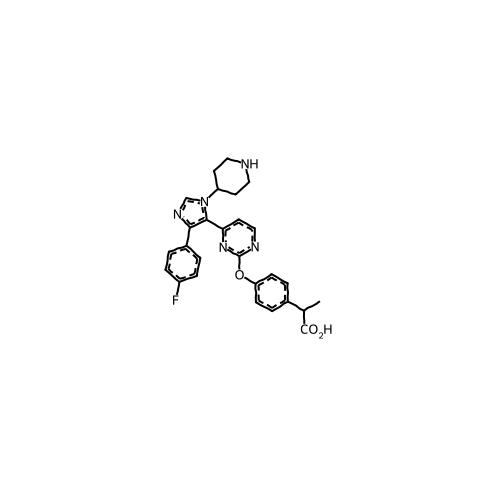 CC(C(=O)O)c1ccc(Oc2nccc(-c3c(-c4ccc(F)cc4)ncn3C3CCNCC3)n2)cc1